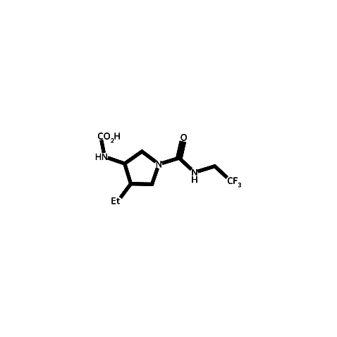 CCC1CN(C(=O)NCC(F)(F)F)CC1NC(=O)O